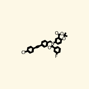 CC1(C)OC(=O)c2cc(N(Cc3ccc(C#Cc4ccc(Cl)cc4)cc3)C(=O)c3cccc(F)c3)ccc2O1